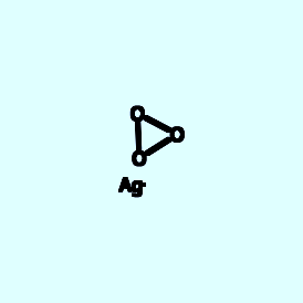 [Ag].o1oo1